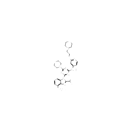 COc1cccc2c1nc(C(F)F)n2-c1nc(Nc2ccnc(OCCN3CCOCC3)c2)nc(N2CCOCC2)n1